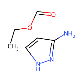 CCOC=O.Nc1cc[nH]n1